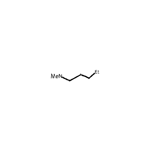 CCC[CH]CNC